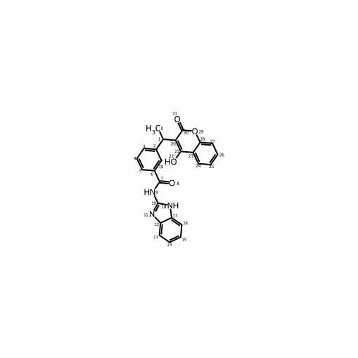 CC(c1cccc(C(=O)Nc2nc3ccccc3[nH]2)c1)c1c(O)c2ccccc2oc1=O